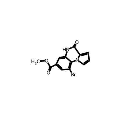 COC(=O)c1cc(Br)c2c(c1)[nH]c(=O)c1cccn12